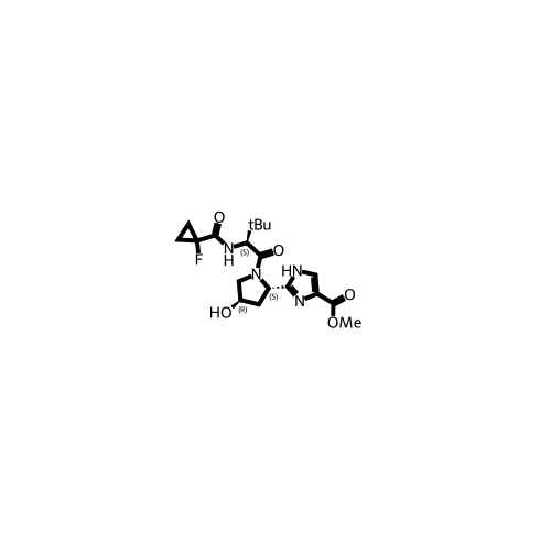 COC(=O)c1c[nH]c([C@@H]2C[C@@H](O)CN2C(=O)[C@@H](NC(=O)C2(F)CC2)C(C)(C)C)n1